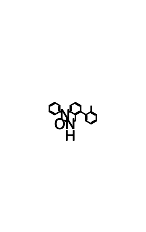 Cc1ccccc1-c1cccc2c1CNC(=O)N2c1ccccc1